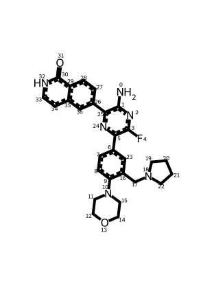 Nc1nc(F)c(-c2ccc(N3CCOCC3)c(CN3CCCC3)c2)nc1-c1ccc2c(=O)[nH]ccc2c1